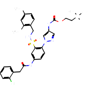 COc1ccc(CNS(=O)(=O)c2cc(NC(=O)Cc3ccccc3Cl)ccc2-n2cc(NC(=O)OCC[Si](C)(C)C)cn2)c(OC)c1